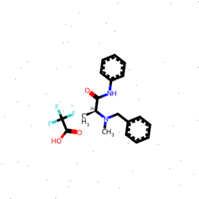 C[C@@H](C(=O)Nc1ccccc1)N(C)Cc1ccccc1.O=C(O)C(F)(F)F